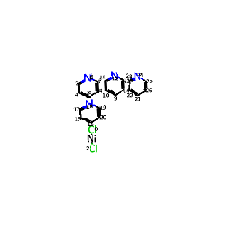 [Cl][Ni][Cl].c1ccncc1.c1ccncc1.c1ccncc1.c1ccncc1